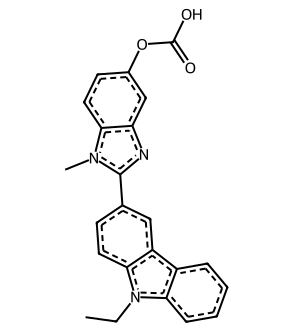 CCn1c2ccccc2c2cc(-c3nc4cc(OC(=O)O)ccc4n3C)ccc21